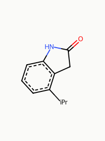 CC(C)c1cccc2c1CC(=O)N2